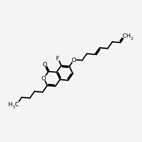 C=CCC/C=C/CCOc1ccc2cc(CCCCC)oc(=O)c2c1F